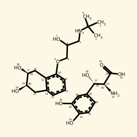 CC(C)(C)NCC(O)COc1cccc2c1C[C@H](O)[C@H](O)C2.N[C@H](C(=O)O)[C@@H](O)c1ccc(O)c(O)c1